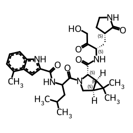 Cc1cccc2[nH]c(C(=O)NC(CC(C)C)C(=O)N3C[C@H]4[C@@H]([C@H]3C(=O)N[C@@H](C[C@@H]3CCNC3=O)C(=O)CO)C4(C)C)cc12